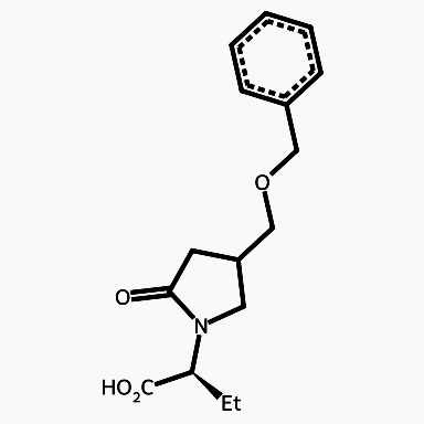 CC[C@@H](C(=O)O)N1CC(COCc2ccccc2)CC1=O